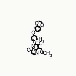 COCc1c(C)c(N2CCC(Oc3ccc4c(c3)OCCO4)CC2)nn2c(=O)ccnc12